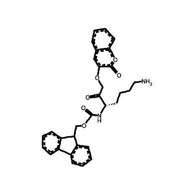 NCCCC[C@H](NC(=O)OCC1c2ccccc2-c2ccccc21)C(=O)COc1cc2ccccc2oc1=O